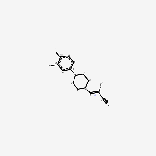 N#C/C(F)=C/[C@H]1CC[C@H](c2ccc(F)c(F)c2)CC1